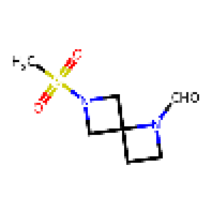 CS(=O)(=O)N1CC2(CCN2C=O)C1